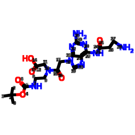 CC(C)(C)OC(=O)NCCN(CC(=O)O)C(=O)Cn1cnc2c(NC(=O)CCN)nc(N)nc21